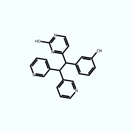 N#Cc1cccc(C(c2ccnc(O)n2)C(c2cccnc2)c2cccnc2)c1